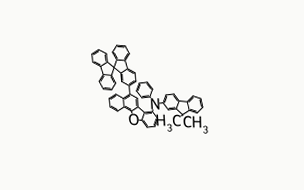 CC1(C)c2ccccc2-c2ccc(N(c3ccccc3)c3cccc4oc5c6ccccc6c(-c6ccc7c(c6)C6(c8ccccc8-c8ccccc86)c6ccccc6-7)cc5c34)cc21